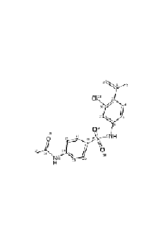 C=C(C)c1ccc(NS(=O)(=O)c2ccc(NC(C)=O)cc2)cc1Cl